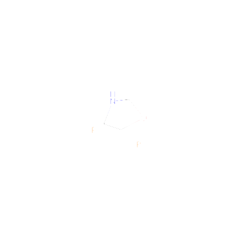 C1COCN1.[P].[P]